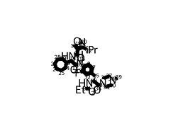 CCC(=O)N[C@H](Cc1ccc(NC(=O)[C@@H](NC(=O)c2conc2C(C)C)C2CCCCCC2)c(F)c1)C(=O)N1CCN(C)CC1